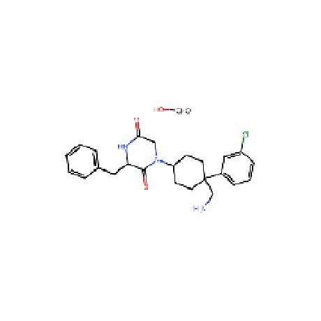 NCC1(c2cccc(Cl)c2)CCC(N2CC(=O)NC(Cc3ccccc3)C2=O)CC1.O=CO